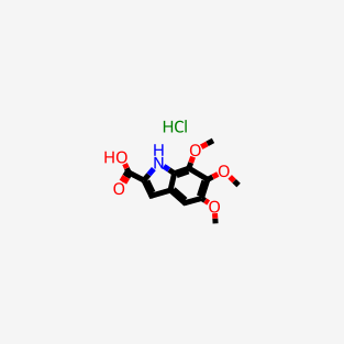 COc1cc2cc(C(=O)O)[nH]c2c(OC)c1OC.Cl